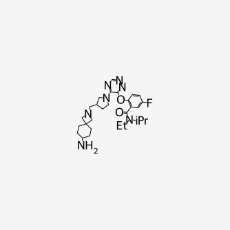 CCN(C(=O)c1cc(F)ccc1Oc1nncnc1N1CCC(CN2CC3(CCC(N)CC3)C2)C1)C(C)C